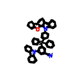 N#Cc1cc(-n2c3ccccc3c3ccccc32)cc([Si](c2ccccc2)(c2ccccc2)c2ccc(-n3c4ccccc4c4ccc5c6ccccc6oc5c43)cc2)c1